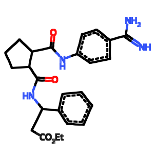 CCOC(=O)CC(NC(=O)C1CCCC1C(=O)Nc1ccc(C(=N)N)cc1)c1ccccc1